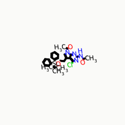 CC(=O)Nc1nc(Cl)c2c(CCO[Si](c3ccccc3)(c3ccccc3)C(C)(C)C)cn(C(C)=O)c2n1